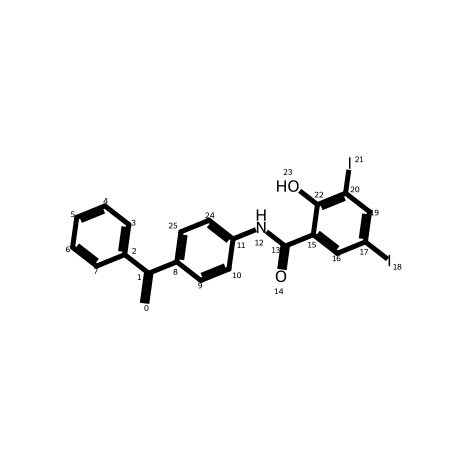 C=C(c1ccccc1)c1ccc(NC(=O)c2cc(I)cc(I)c2O)cc1